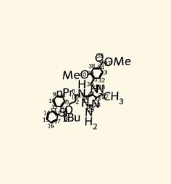 CCC[C@@H](CCO[Si](c1ccccc1)(c1ccccc1)C(C)(C)C)Nc1nc(N)nc2c(C)nn(Cc3ccc(C(=O)OC)cc3OC)c12